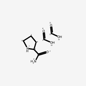 NC(=O)C1CCCN1.O=CO.O=CO